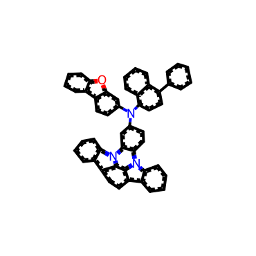 c1ccc(-c2ccc(N(c3ccc4c(c3)oc3ccccc34)c3ccc4c(c3)n3c5ccccc5c5ccc6c7ccccc7n4c6c53)c3ccccc23)cc1